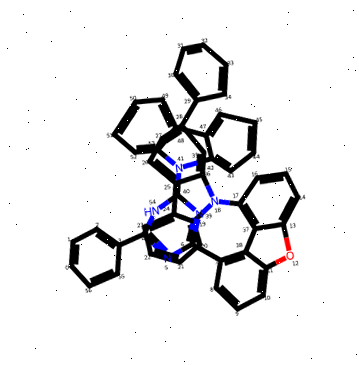 c1ccc(C2=NC(c3cccc4oc5cccc(-n6c7ccccc7c7ccc(-c8ccccc8)cc76)c5c34)=NC(n3c4ccccc4c4ccccc43)N2)cc1